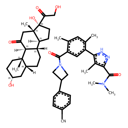 C[C@]12CC[C@@H](O)C[C@H]1CC[C@@H]1[C@@H]2C(=O)C[C@@]2(C)[C@H]1CC[C@]2(O)C(=O)CO.Cc1cc(C)c(-c2[nH]nc(C(=O)N(C)C)c2C)cc1C(=O)N1CC(c2ccc(C#N)cc2)C1